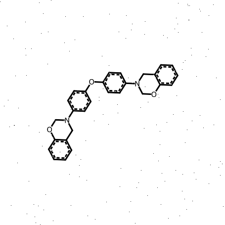 c1ccc2c(c1)CN(c1ccc(Oc3ccc(N4COc5ccccc5C4)cc3)cc1)CO2